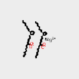 CCCCCCC=CC(=CC=CCC[C@H]1CCC[C@@H]1CCCCCCCC)C(=O)[O-].CCCCCCC=CC(=CC=CCC[C@H]1CCC[C@@H]1CCCCCCCC)C(=O)[O-].[Mg+2]